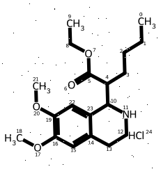 CCCCC(C(=O)OCC)C1NCCc2cc(OC)c(OC)cc21.Cl